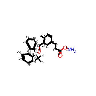 Cc1ccc(CCC(=O)ON)cc1CO[Si](c1ccccc1)(c1ccccc1)C(C)(C)C